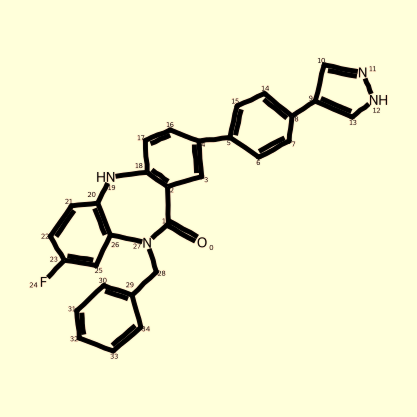 O=C1c2cc(-c3ccc(-c4cn[nH]c4)cc3)ccc2Nc2ccc(F)cc2N1Cc1ccccc1